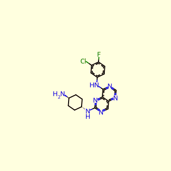 N[C@H]1CC[C@H](Nc2ncc3ncnc(Nc4ccc(F)c(Cl)c4)c3n2)CC1